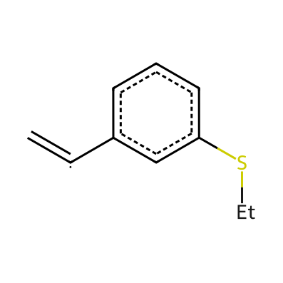 C=[C]c1cccc(SCC)c1